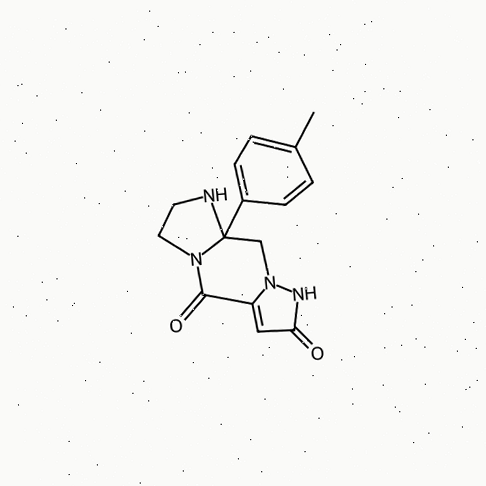 Cc1ccc(C23Cn4[nH]c(=O)cc4C(=O)N2CCN3)cc1